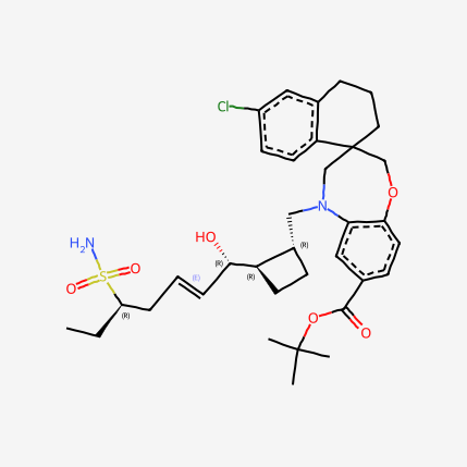 CC[C@H](C/C=C/[C@H](O)[C@@H]1CC[C@H]1CN1CC2(CCCc3cc(Cl)ccc32)COc2ccc(C(=O)OC(C)(C)C)cc21)S(N)(=O)=O